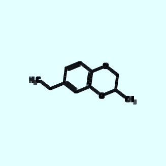 CCc1ccc2c(c1)OC(C)CO2